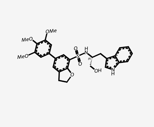 COc1cc(-c2cc3c(c(S(=O)(=O)N[C@@H](CO)Cc4c[nH]c5ccccc45)c2)OCC3)cc(OC)c1OC